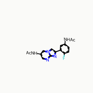 CC(=O)Nc1ccc(F)c(-c2cn3cc(NC(C)=O)cnc3n2)c1